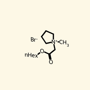 CCCCCCOC(=O)C[N+]1(C)CCCC1.[Br-]